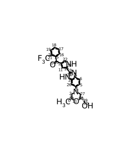 C[C@@H]1CN(c2ccc3nc(-c4cc(C(=O)c5ccccc5C(F)(F)F)c[nH]4)[nH]c3c2)C[C@H](CO)O1